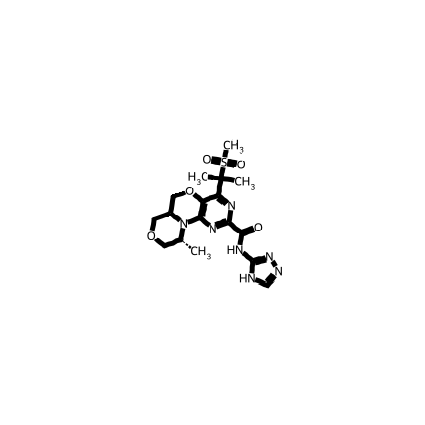 C[C@@H]1COCC2COc3c(nc(C(=O)Nc4nnc[nH]4)nc3C(C)(C)S(C)(=O)=O)N21